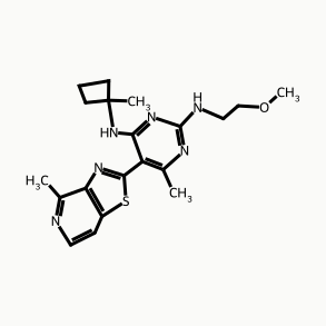 COCCNc1nc(C)c(-c2nc3c(C)nccc3s2)c(NC2(C)CCC2)n1